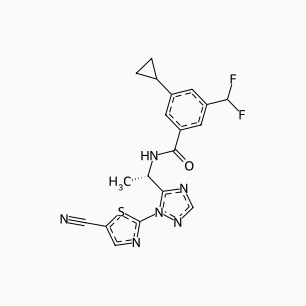 C[C@H](NC(=O)c1cc(C(F)F)cc(C2CC2)c1)c1ncnn1-c1ncc(C#N)s1